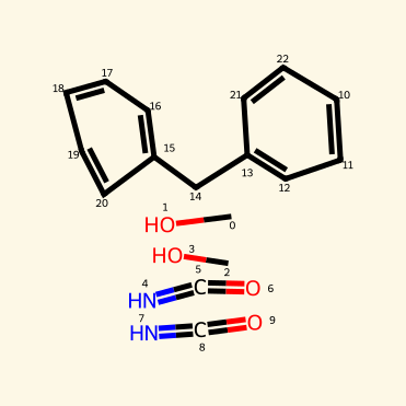 CO.CO.N=C=O.N=C=O.c1ccc(Cc2ccccc2)cc1